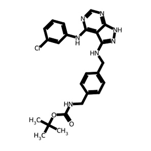 CC(C)(C)OC(=O)NCc1ccc(CNc2n[nH]c3ncnc(Nc4cccc(Cl)c4)c23)cc1